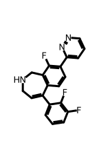 Fc1cccc(C2=CCNCc3c2ccc(-c2cccnn2)c3F)c1F